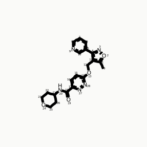 Cc1onc(-c2cccnc2)c1COc1ccc(C(=O)NC2CCOCC2)nn1